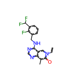 C=Cn1cc2c(NCc3cccc(C(F)F)c3F)ncnc2c(C)c1=O